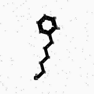 ClCCCCCc1ccccn1